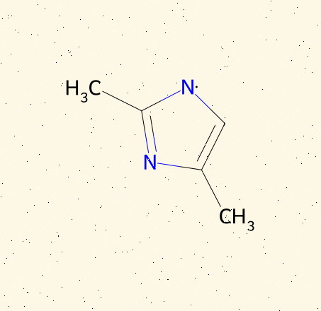 CC1=C[N]C(C)=N1